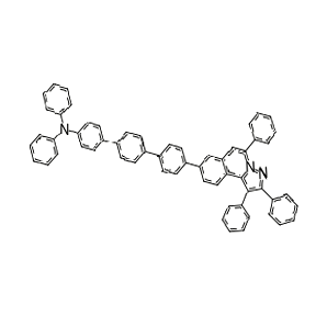 c1ccc(-c2nn3c(-c4ccccc4)cc4cc(-c5ccc(-c6ccc(-c7ccc(N(c8ccccc8)c8ccccc8)cc7)cc6)cc5)ccc4c3c2-c2ccccc2)cc1